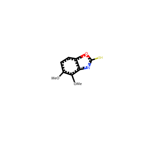 COc1ccc2oc(S)nc2c1OC